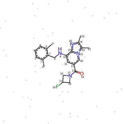 Cc1cccc(C)c1CNc1cc(C(=O)N2CC(F)C2)cn2c(C)c(C)nc12